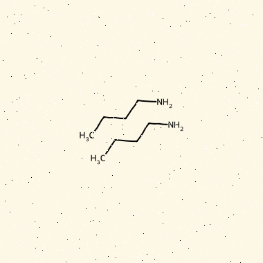 CCCCN.CCCCN